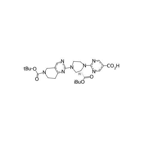 CC(C)COC(=O)[C@@H]1CN(c2ncc3c(n2)CCN(C(=O)OC(C)(C)C)C3)CCN1c1ncc(C(=O)O)cn1